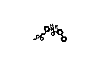 CCOC(=O)C=Cc1cccc(NC(=O)c2cc(-c3ccccc3)ccc2F)c1